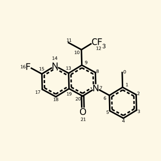 Cc1ccccc1-n1cc(C(C)C(F)(F)F)c2nc(F)ccc2c1=O